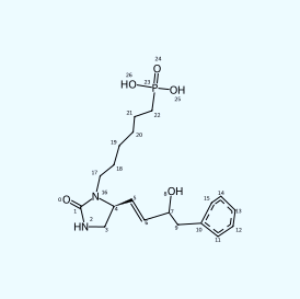 O=C1NC[C@H](/C=C/C(O)Cc2ccccc2)N1CCCCCCP(=O)(O)O